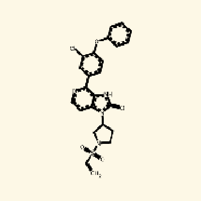 C=CS(=O)(=O)N1CCC(n2c(=O)[nH]c3c(-c4ccc(Oc5ccccc5)c(Cl)c4)nccc32)C1